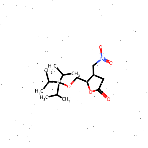 CC(C)[Si](OCC1OC(=O)CC1C[N+](=O)[O-])(C(C)C)C(C)C